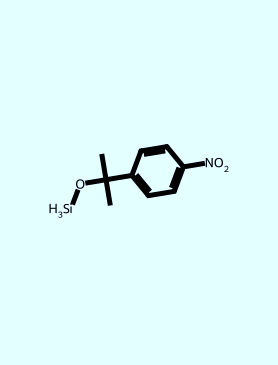 CC(C)(O[SiH3])c1ccc([N+](=O)[O-])cc1